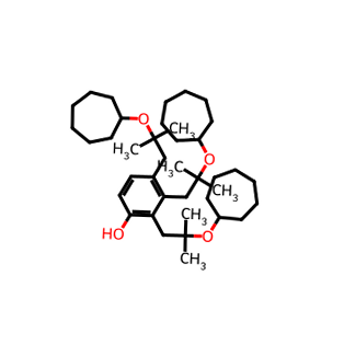 CC(C)(Cc1ccc(O)c(CC(C)(C)OC2CCCCCC2)c1CC(C)(C)OC1CCCCCC1)OC1CCCCCC1